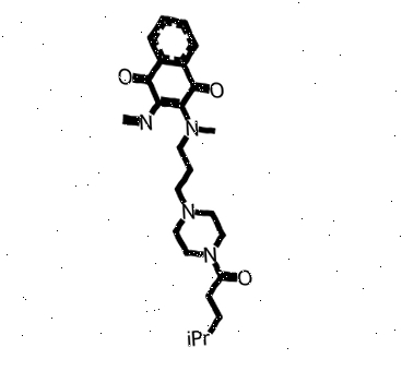 C=NC1=C(N(C)CCCN2CCN(C(=O)CCC(C)C)CC2)C(=O)c2ccccc2C1=O